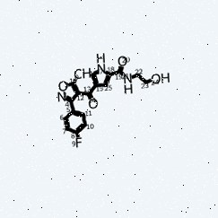 Cc1onc(-c2ccc(F)cc2)c1C(=O)c1c[nH]c(C(=O)NCCO)c1